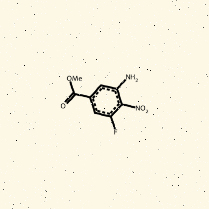 COC(=O)c1cc(N)c([N+](=O)[O-])c(F)c1